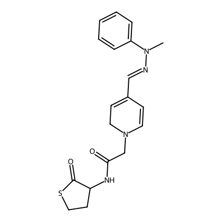 CN(/N=C/C1=CCN(CC(=O)NC2CCSC2=O)C=C1)c1ccccc1